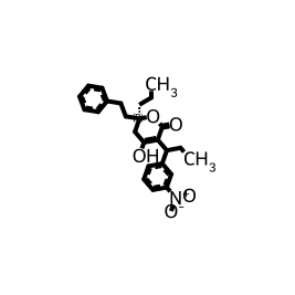 CCC[C@@]1(CCc2ccccc2)CC(O)=C(C(CC)c2cccc([N+](=O)[O-])c2)C(=O)O1